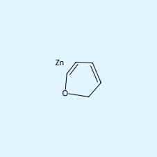 C1=CCOC=C1.[Zn]